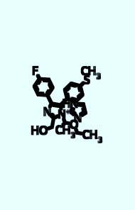 CCOC(C)[N+]1(c2ncc[nH]2)C(CO)=NC(c2ccc(F)cc2)=C1c1ccc(SC)cc1